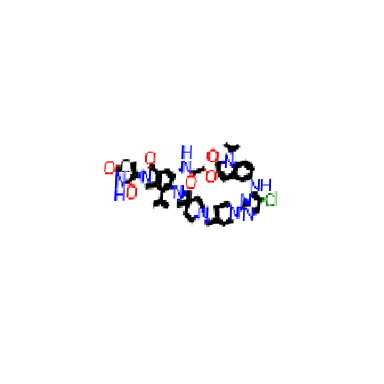 CNC(=O)COc1cc2cc(Nc3nc(N4CCC(CN5CCC6(CC5)CN(c5ccc7c(c5C(C)C)CN(C5CCC(=O)NC5=O)C7=O)C6)CC4)ncc3Cl)ccc2n(C(C)C)c1=O